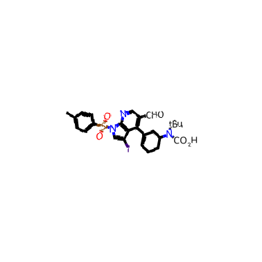 Cc1ccc(S(=O)(=O)n2cc(I)c3c(C4=CCCC(N(C(=O)O)C(C)(C)C)C4)c(C=O)cnc32)cc1